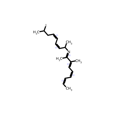 C\C=C/C=C\C=C(C)\C(C)=N\C(C)/C=C\C=C/CC(C)I